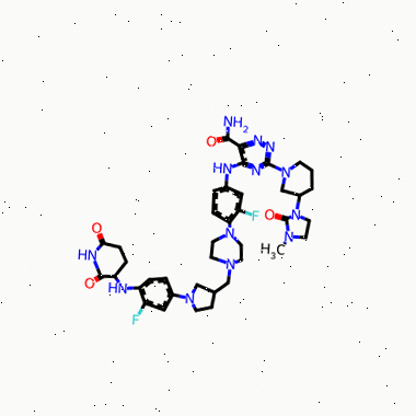 CN1CCN(C2CCCN(c3nnc(C(N)=O)c(Nc4ccc(N5CCN(CC6CCN(c7ccc(NC8CCC(=O)NC8=O)c(F)c7)C6)CC5)c(F)c4)n3)C2)C1=O